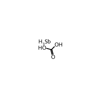 O=C(O)O.[SbH3]